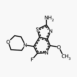 COc1nc(F)c(N2CCOCC2)c2sc(N)nc12